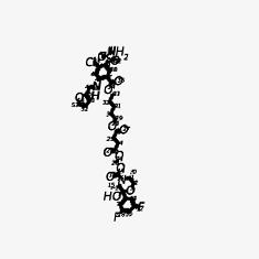 C[C@@H]1CO[C@@](O)(c2cc(F)cc(F)c2)[C@H](C)N1C(=O)OCOC(=O)CCC(=O)OCCCCCOC(=O)c1cc(S(N)(=O)=O)c(Cl)cc1NCc1ccco1